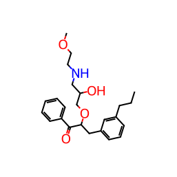 CCCc1cccc(CC(OCC(O)CNCCOC)C(=O)c2ccccc2)c1